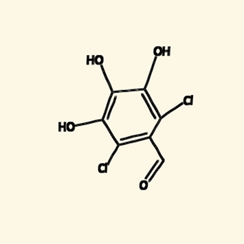 O=Cc1c(Cl)c(O)c(O)c(O)c1Cl